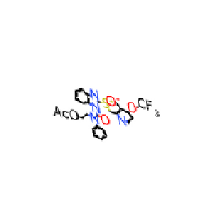 CC(=O)OCCN(C(=O)n1c([S@+]([O-])Cc2nccc(OCC(F)(F)F)c2C)nc2ccccc21)c1ccccc1